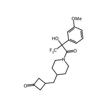 COc1cccc(C(O)(C(=O)N2CCC(CC3CC(=O)C3)CC2)C(F)(F)F)c1